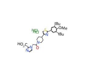 COc1c(C(C)(C)C)cc(-c2nc(C3CCN(C(=O)Cn4ccnc4C(=O)O)CC3)cs2)cc1C(C)(C)C.Cl.Cl